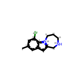 Cc1cc(Br)c2c(c1)cc1n2CCCNC1